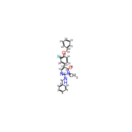 Cn1c(NCc2ccccc2)ncc(-c2ccc(OCc3ccccc3)c(F)c2)c1=O